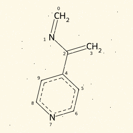 C=NC(=C)c1ccncc1